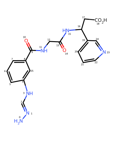 NN=CNc1cccc(C(=O)NCC(=O)NC(CC(=O)O)c2cccnc2)c1